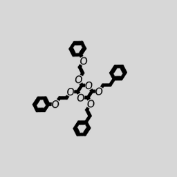 c1ccc(CCOC2OC(OCCOc3ccccc3)C(OCCOc3ccccc3)OC2OCCc2ccccc2)cc1